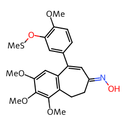 COc1ccc(C2=C/C(=N/O)CCc3c2cc(OC)c(OC)c3OC)cc1OSC